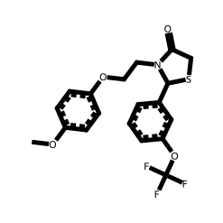 COc1ccc(OCCN2C(=O)CSC2c2cccc(OC(F)(F)F)c2)cc1